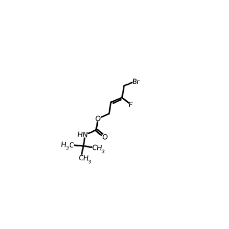 CC(C)(C)NC(=O)OCC=C(F)CBr